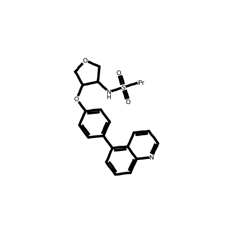 CC(C)S(=O)(=O)NC1COCC1Oc1ccc(-c2cccc3ncccc23)cc1